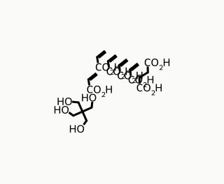 C=CC(=O)O.C=CC(=O)O.C=CC(=O)O.C=CC(=O)O.C=CC(=O)O.O=C(O)CCC(=O)O.OCC(CO)(CO)CO